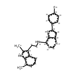 Cc1[nH]c2c(C)cccc2c1CCNc1ncnc2cc(-c3ccc(F)cc3)sc12